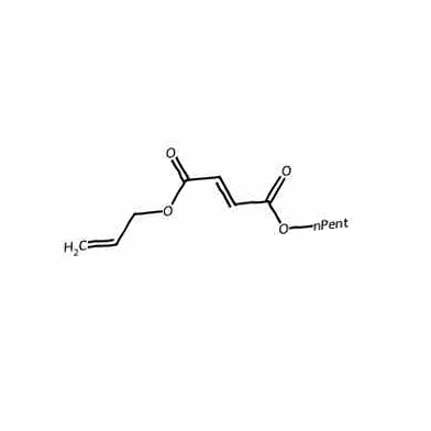 C=CCOC(=O)C=CC(=O)OCCCCC